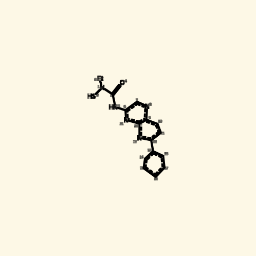 CCN(S)C(=O)Nc1cnc2ccc(-c3ccccc3)nc2n1